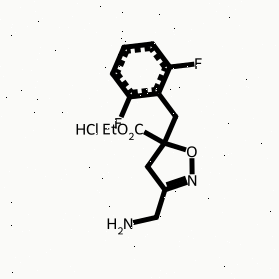 CCOC(=O)C1(Cc2c(F)cccc2F)CC(CN)=NO1.Cl